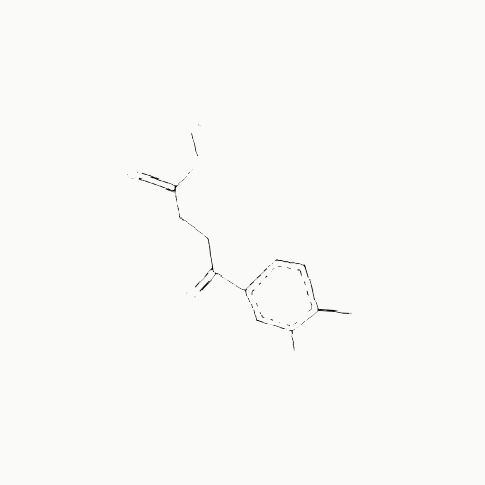 CC(C)OC(=O)CCC(=O)c1ccc(F)c(F)c1